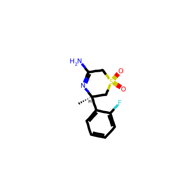 C[C@@]1(c2ccccc2F)CS(=O)(=O)CC(N)=N1